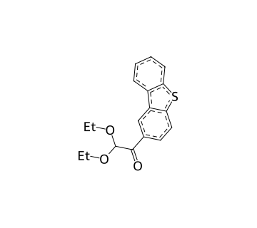 CCOC(OCC)C(=O)c1ccc2sc3ccccc3c2c1